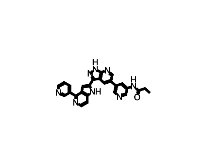 CCC(=O)Nc1cncc(-c2cnc3[nH]nc(-c4cc5c(-c6cccnc6)nccc5[nH]4)c3c2)c1